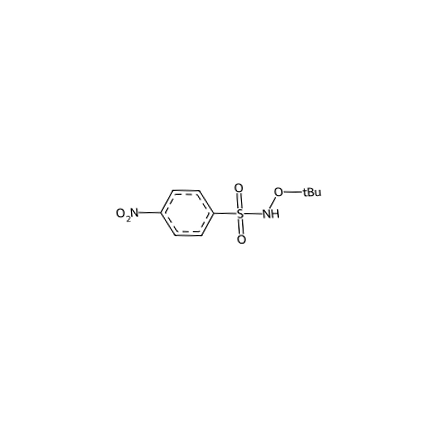 CC(C)(C)ONS(=O)(=O)c1ccc([N+](=O)[O-])cc1